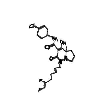 CC12CCCN1N(C/C=C/CC/C(F)=C/F)C(=O)C(C(=O)NC1=CC=C(Cl)CC1)=C2O